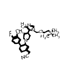 Cc1cc(-c2ccc(CC#N)cc2N2CCC(c3c(C)ncn3COCC[Si](C)(C)C)CC2)ccc1F